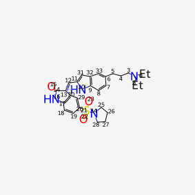 CCN(CC)CCCc1ccc2[nH]c(/C=C3/C(=O)Nc4ccc(S(=O)(=O)N5CCCC5)cc43)cc2c1